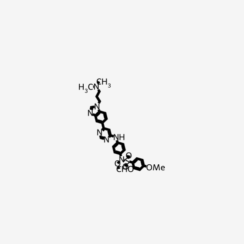 COc1ccc(S(=O)(=O)N(OC=O)c2ccc(Nc3cc(-c4ccc5c(c4)ncn5CCCN(C)C)ncn3)cc2)cc1